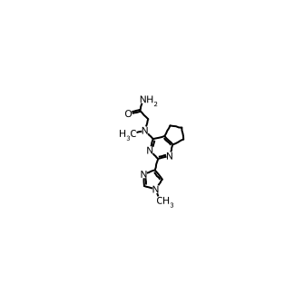 CN(CC(N)=O)c1nc(-c2cn(C)cn2)nc2c1CCC2